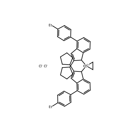 CCc1ccc(-c2cccc3c2C=C(C2CCCC2)[CH]3[Hf+2]2([CH]3C(C4CCCC4)=Cc4c(-c5ccc(CC)cc5)cccc43)[CH2][CH2]2)cc1.[Cl-].[Cl-]